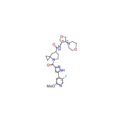 COc1cc(-c2cc(C(=O)N3CCC(C(=O)N[C@H]4COC[C@H]4N4CCOCC4)CC34CC4)n[nH]2)c(F)cn1